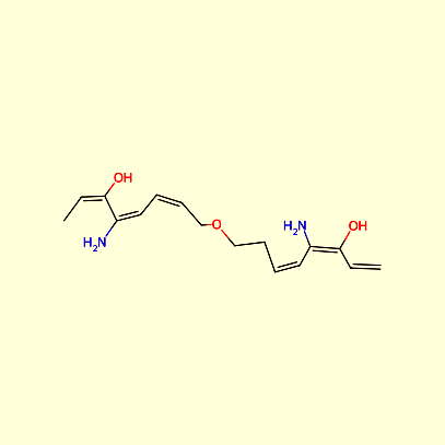 C=C/C(O)=C(N)\C=C/CCOC\C=C/C=C(N)\C(O)=C/C